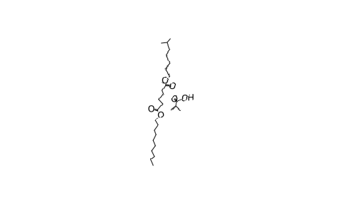 C=C(C)C(=O)O.CCCCCCCCCCOC(=O)CCCCC(=O)OCCCCCC(C)C